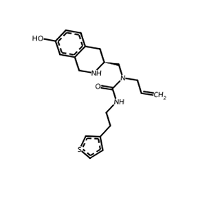 C=CCN(C[C@@H]1Cc2ccc(O)cc2CN1)C(=O)NCCc1ccsc1